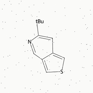 CC(C)(C)c1cc2cscc2cn1